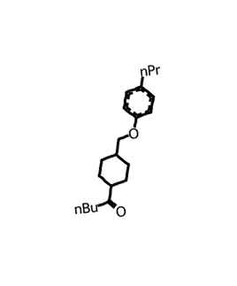 CCCCC(=O)C1CCC(COc2ccc(CCC)cc2)CC1